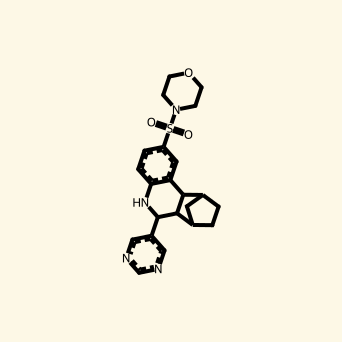 O=S(=O)(c1ccc2c(c1)C1C3CCC(C3)C1C(c1cncnc1)N2)N1CCOCC1